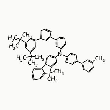 Cc1cccc(-c2ccc(N(c3cccc(-c4cccc(-c5cc(C(C)(C)C)cc(C(C)(C)C)c5)c4)c3)c3ccc4c(c3)C(C)(C)c3ccccc3-4)cc2)c1